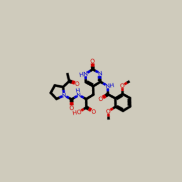 COc1cccc(OC)c1C(=O)Nc1nc(=O)[nH]cc1CC(NC(=O)N1CCCC1C(C)=O)C(=O)O